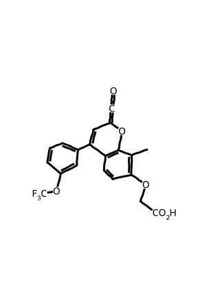 Cc1c(OCC(=O)O)ccc2c1OC(=C=O)C=C2c1cccc(OC(F)(F)F)c1